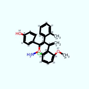 C=C(/C(=C(\ON)c1ccc(O)cc1)c1ccccc1C)c1c(Cl)cccc1OC